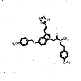 COc1ccc(CCN(C)C(=O)Cn2cc(C=Cc3nnn[nH]3)c3cc(OCc4ccc(C)cc4)ccc32)cc1